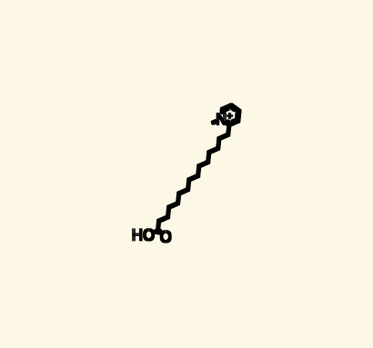 C[n+]1ccccc1CCCCCCCCCCCCCCC(=O)O